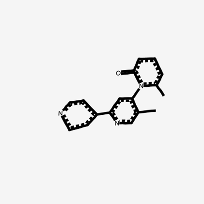 Cc1cnc(-c2ccncc2)cc1-n1c(C)cccc1=O